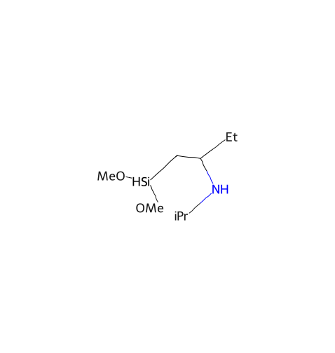 CCC(C[SiH](OC)OC)NC(C)C